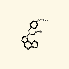 CCCCCCOc1ccc(C[C@@H](COCC)n2cnc3cnc4ccccc4c32)cc1